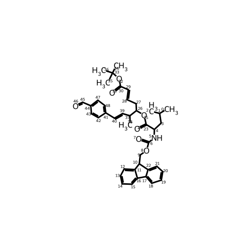 CC(C)CC(NC(=O)OCC1c2ccccc2-c2ccccc21)C(=O)OC(C/C=C/C(=O)OC(C)(C)C)C(C)/C=C/c1ccc(C=O)cc1